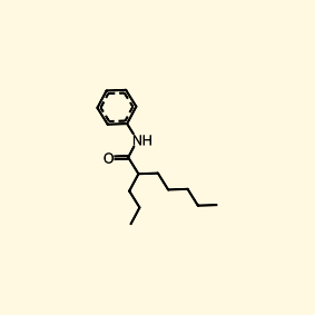 CCCCCC(CCC)C(=O)Nc1ccccc1